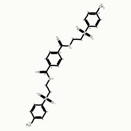 Cc1ccc(S(=O)(=O)CCOC(=O)c2ccc(C(=O)OCCS(=O)(=O)c3ccc(C)cc3)cc2)cc1